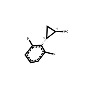 CC(=O)[C@@H]1C[C@H]1c1c(F)cccc1F